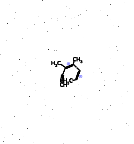 C#C/C(C)=C(C)\C=C/C